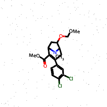 COCOC1CC2C(C(=O)OC)=C(c3ccc(Cl)c(Cl)c3)CC1N2C